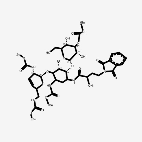 CC(C)(C)OC(=O)NCC1C=C[C@H](NC(=O)OC(C)(C)C)[C@@H](OC2C(NC(=O)OC(C)(C)C)CC(NC(=O)C(O)CCN3C(=O)c4ccccc4C3=O)[C@@H](O[C@@H]3OC(CO)[C@H](O)C(NC(=O)OC(C)(C)C)[C@@H]3O)[C@H]2O)O1